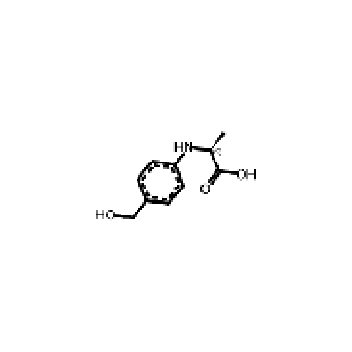 C[C@H](Nc1ccc(CO)cc1)C(=O)O